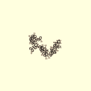 CCOC(=O)c1cc2c(O[C@@H]3O[C@H](COC(C)=O)[C@H](OC(C)=O)[C@H](OC(C)=O)[C@H]3OC(C)=O)ccc(COC(=O)N(C)[C@H](C(=O)N[C@H](C(=O)N(C)[C@@H](C(C)CC)[C@@H](CC(=O)N3CCC[C@H]3[C@H](OC)[C@@H](C)C(=O)NC(Cc3ccccc3)C(=O)OC)OC)C(C)C)C(C)C)c2o1